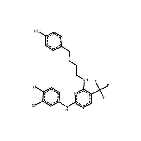 Oc1ccc(CCCCNc2nc(Nc3ccc(Cl)c(Cl)c3)ncc2C(F)(F)F)cc1